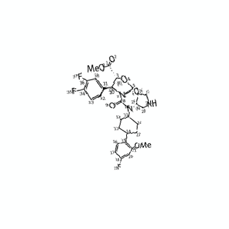 COC(=O)[C@@H]1OC(=O)N(C(=O)N(C2CCC(c3ccc(F)cc3OC)CC2)[C@@H]2CCNC2)[C@H]1c1ccc(F)c(F)c1